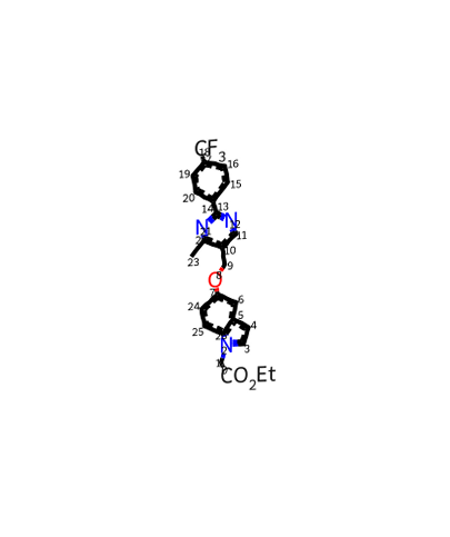 CCOC(=O)Cn1ccc2cc(OCc3cnc(-c4ccc(C(F)(F)F)cc4)nc3C)ccc21